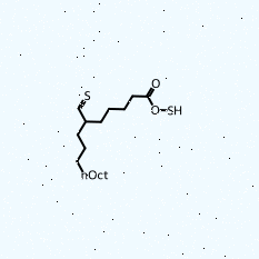 CCCCCCCCCCCC(C=S)CCCCC(=O)OS